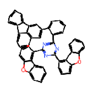 c1ccc(-c2nc(-c3cccc4oc5ccccc5c34)nc(-c3cccc4oc5ccccc5c34)n2)c(-c2cc3c4c(cccc4c2)-c2ccccc2-3)c1